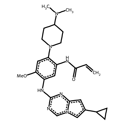 C=CC(=O)Nc1cc(Nc2ncn3cc(C4CC4)cc3n2)c(OC)cc1N1CCC(N(C)C)CC1